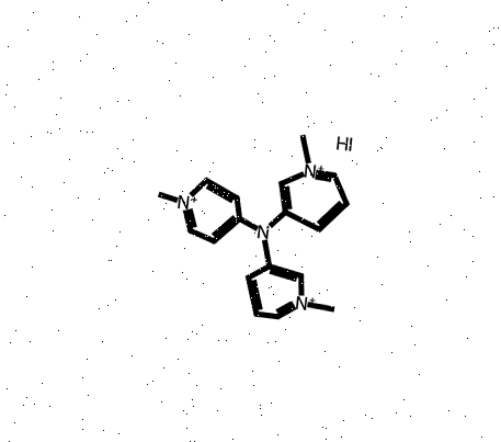 C[n+]1ccc(N(c2ccc[n+](C)c2)c2ccc[n+](C)c2)cc1.I